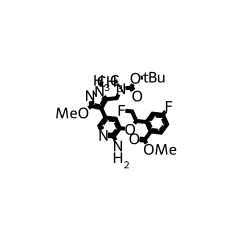 COC(=O)c1ccc(F)cc1C(CF)Oc1cc(-c2c(OC)nn(C)c2CN(C)C(=O)OC(C)(C)C)cnc1N